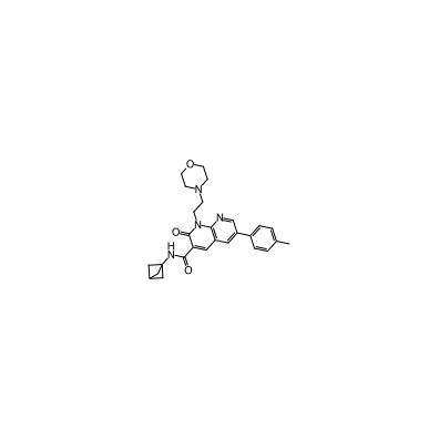 Cc1ccc(-c2cnc3c(c2)cc(C(=O)NC24CC(C2)C4)c(=O)n3CCN2CCOCC2)cc1